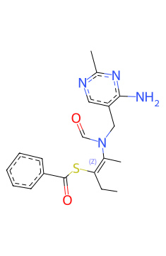 CC/C(SC(=O)c1ccccc1)=C(\C)N(C=O)Cc1cnc(C)nc1N